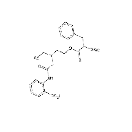 COC(Cc1ccccc1)C(=O)OCCC(CC(C)=O)CC(=O)Nc1ccccc1S(=O)(=O)O